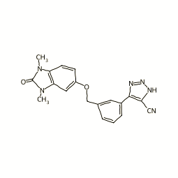 Cn1c(=O)n(C)c2cc(OCc3cccc(-c4nn[nH]c4C#N)c3)ccc21